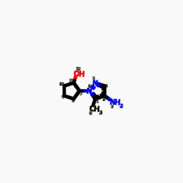 Cc1c(N)cnn1C1CCCC1O